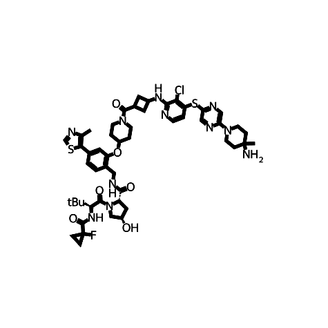 Cc1ncsc1-c1ccc(CNC(=O)[C@@H]2C[C@@H](O)CN2C(=O)[C@@H](NC(=O)C2(F)CC2)C(C)(C)C)c(OC2CCN(C(=O)C3CC(Nc4nccc(Sc5cnc(N6CCC(C)(N)CC6)cn5)c4Cl)C3)CC2)c1